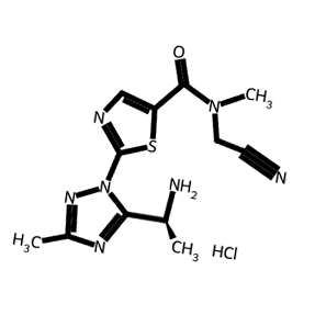 Cc1nc([C@H](C)N)n(-c2ncc(C(=O)N(C)CC#N)s2)n1.Cl